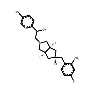 Cc1cc(F)ccc1C[C@]1(O)C[C@H]2CN(CC(O)c3ccc(O)cn3)C[C@H]2C1